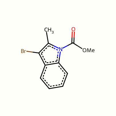 COC(=O)n1c(C)c(Br)c2ccccc21